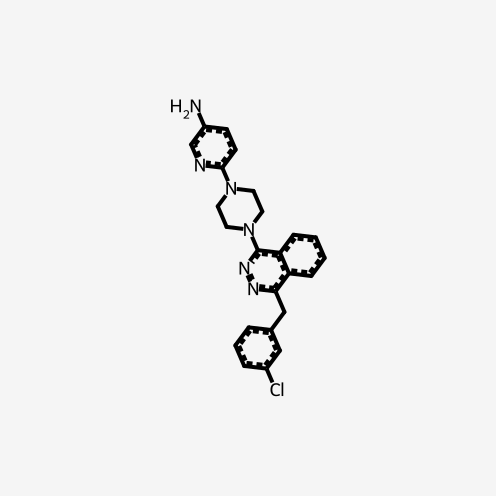 Nc1ccc(N2CCN(c3nnc(Cc4cccc(Cl)c4)c4ccccc34)CC2)nc1